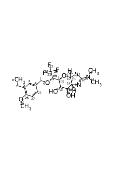 CCc1cc(CO[C@H]([C@H]2O[C@@H]3SC(N(C)C)=N[C@@H]3[C@@H](O)[C@@H]2O)C(F)(F)F)ccc1OC